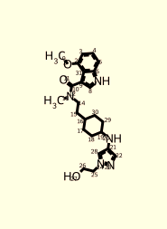 COc1cccc2[nH]cc(C(=O)N(C)CCC3CCC(Nc4cnn(CCO)c4)CC3)c12